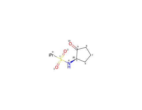 CC(C)S(=O)(=O)N[C@@H]1CCCC1=O